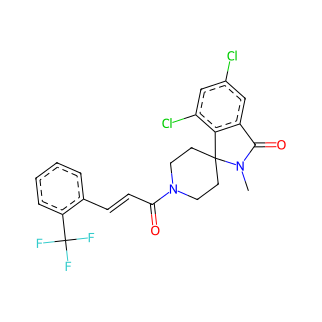 CN1C(=O)c2cc(Cl)cc(Cl)c2C12CCN(C(=O)/C=C/c1ccccc1C(F)(F)F)CC2